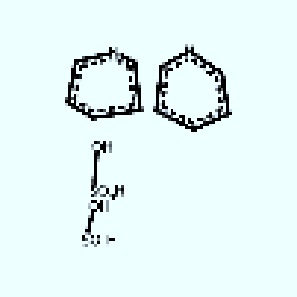 O=S(=O)(O)O.O=S(=O)(O)O.c1ccncc1.c1ccncc1